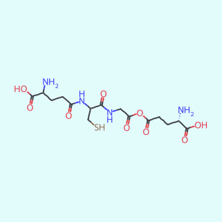 NC(CCC(=O)NC(CS)C(=O)NCC(=O)OC(=O)CC[C@H](N)C(=O)O)C(=O)O